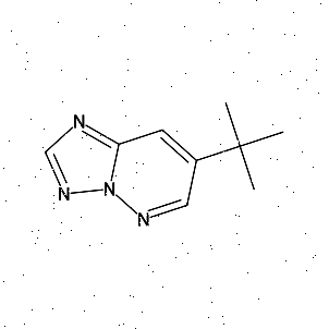 CC(C)(C)c1cnn2ncnc2c1